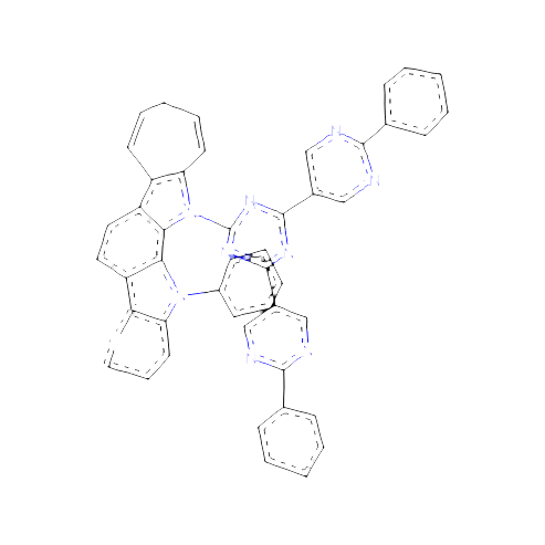 C1=Cc2c(n(-c3nc(-c4cnc(-c5ccccc5)nc4)nc(-c4cnc(-c5ccccc5)nc4)n3)c3c2ccc2c4ccccc4n(-c4ccccc4)c23)C=CC1